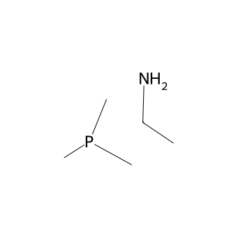 CCN.CP(C)C